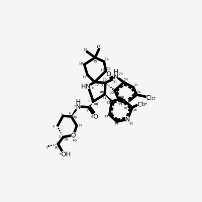 C[C@@H](O)[C@@H]1CC[C@@H](NC(=O)[C@@H]2NC3(CCC(C)(C)CC3)[C@@]3(C(=O)Nc4cc(Cl)ncc43)[C@H]2c2ccnc(Cl)c2)CO1